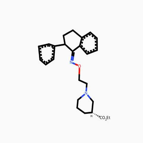 CCOC(=O)[C@@H]1CCCN(CCON=C2c3ccccc3CCC2c2ccccc2)C1